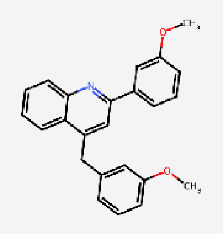 COc1cccc(Cc2cc(-c3cccc(OC)c3)nc3ccccc23)c1